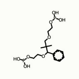 CC(C)(COCCOP(O)O)C(OCCOP(O)O)c1ccccc1